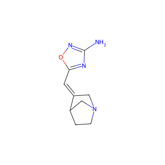 Nc1noc(/C=C2\CN3CCC2C3)n1